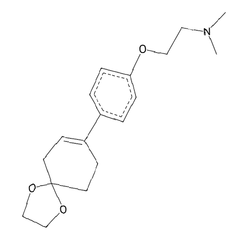 CN(C)CCOc1ccc(C2=CCC3(CC2)OCCO3)cc1